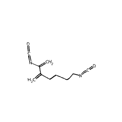 C=C(CCCCN=C=O)C(=C)N=C=O